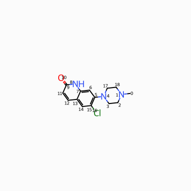 CN1CCN(c2cc3[nH]c(=O)ccc3cc2Cl)CC1